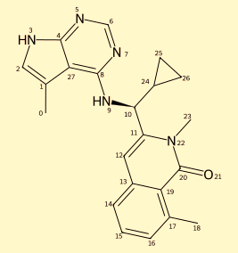 Cc1c[nH]c2ncnc(N[C@H](c3cc4cccc(C)c4c(=O)n3C)C3CC3)c12